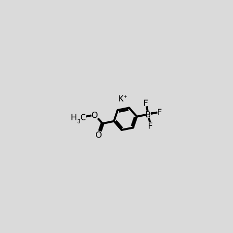 COC(=O)c1ccc([B-](F)(F)F)cc1.[K+]